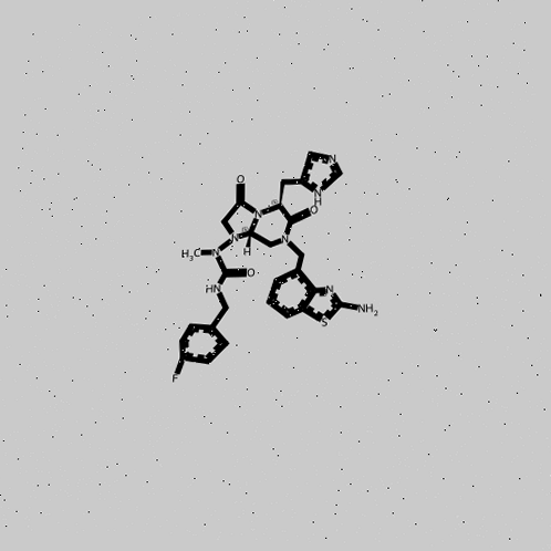 CN(C(=O)NCc1ccc(F)cc1)N1CC(=O)N2[C@@H](Cc3cnc[nH]3)C(=O)N(Cc3cccc4sc(N)nc34)C[C@@H]21